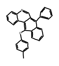 Cc1ccc(Oc2c3ccccc3c(-c3ccccc3)c3cnc4ccccc4c23)cc1